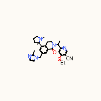 CCOc1cc(C(C)N2CCc3c(cc(Cn4ccnc4C)cc3[C@H]3CCCN3C)C2=O)ncc1C#N